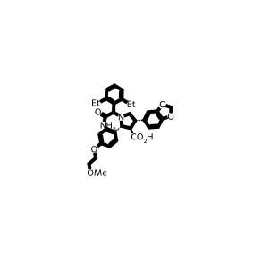 CCc1cccc(CC)c1C(C(N)=O)N1C[C@H](c2ccc3c(c2)OCO3)[C@@H](C(=O)O)[C@@H]1c1ccc(OCCOC)cc1